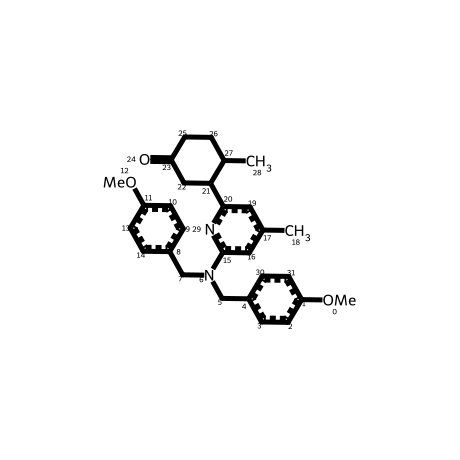 COc1ccc(CN(Cc2ccc(OC)cc2)c2cc(C)cc(C3CC(=O)CCC3C)n2)cc1